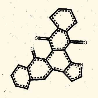 O=c1c2ccccc2cc2c3ccnc3c3c(=O)c4ccccc4c(=O)c3c12